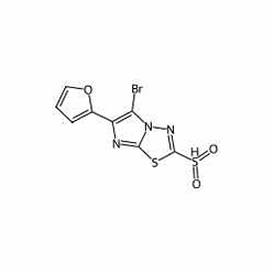 O=[SH](=O)c1nn2c(Br)c(-c3ccco3)nc2s1